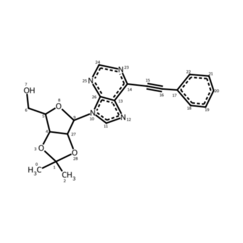 CC1(C)OC2C(CO)OC(n3cnc4c(C#Cc5ccccc5)ncnc43)C2O1